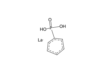 O=P(O)(O)c1ccccc1.[La]